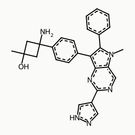 Cn1c(-c2ccccc2)c(-c2ccc(C3(N)CC(C)(O)C3)cc2)c2nc(-c3cn[nH]c3)ncc21